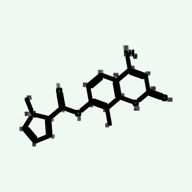 Cc1c(OC(=O)c2cccn2C)ccc2c(N)cc(=O)oc12